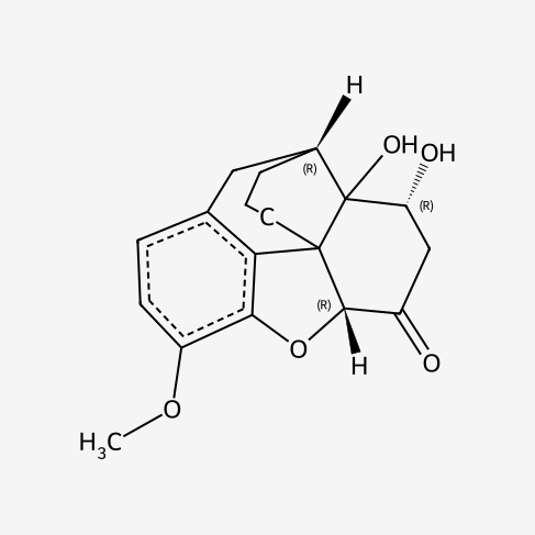 COc1ccc2c3c1O[C@H]1C(=O)C[C@@H](O)C4(O)[C@H](CCCC314)C2